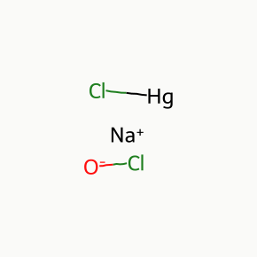 [Cl][Hg].[Na+].[O-]Cl